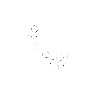 CC1(C)Oc2ncnc(N)c2N=C1c1ccc([C@H]2CC[C@H](CN3C(=O)c4ccccc4C3=O)CC2)cc1